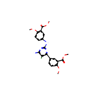 COC(=O)c1cc(Nc2nc(N)c(F)c(-c3ccc(OC)c(C(=O)OC)c3)n2)ccc1OC